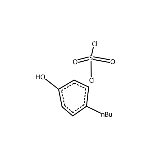 CCCCc1ccc(O)cc1.O=S(=O)(Cl)Cl